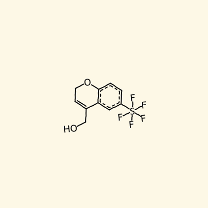 OCC1=CCOc2ccc(S(F)(F)(F)(F)F)cc21